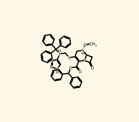 CO[SH]1CC(SC[SH](c2c[nH]nn2)C(c2ccccc2)(c2ccccc2)c2ccccc2)=C(C(=O)OC(c2ccccc2)c2ccccc2)N2C(=O)CC21